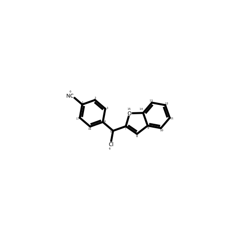 N#Cc1ccc(C(Cl)c2cc3ccccc3o2)cc1